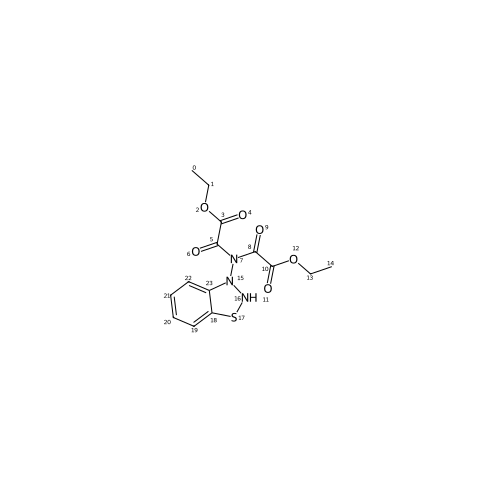 CCOC(=O)C(=O)N(C(=O)C(=O)OCC)N1NSc2ccccc21